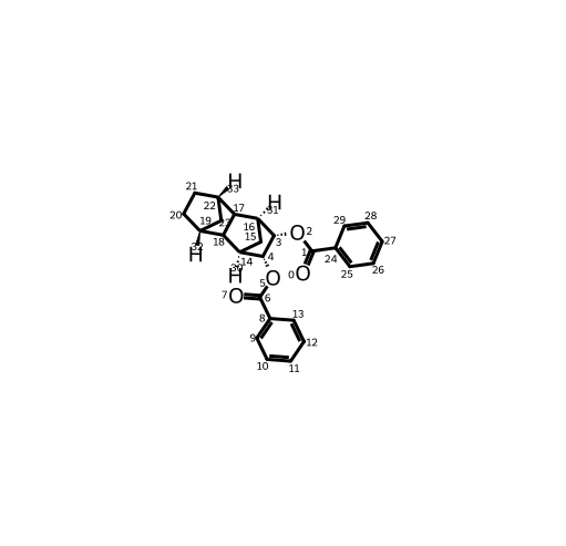 O=C(O[C@@H]1[C@H](OC(=O)c2ccccc2)[C@@H]2C[C@H]1C1C2[C@@H]2CC[C@H]1C2)c1ccccc1